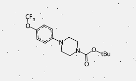 CC(C)(C)OC(=O)N1CCN(c2ccc(OC(F)(F)F)cc2)CC1